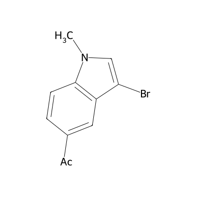 CC(=O)c1ccc2c(c1)c(Br)cn2C